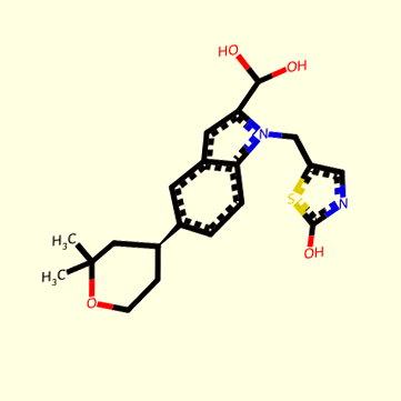 CC1(C)C[C@@H](c2ccc3c(c2)cc(C(O)O)n3Cc2cnc(O)s2)CCO1